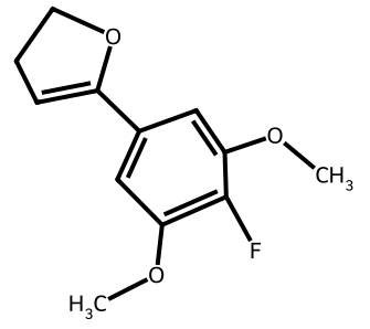 COc1cc(C2=CCCO2)cc(OC)c1F